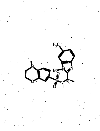 CCn1c([C@@H](C)NS(=O)(=O)c2ccc3c(c2)OCCN3C)nc2ccc(C(F)(F)F)cc21